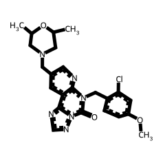 COc1ccc(Cn2c(=O)n3ncnc3c3cc(CN4CC(C)OC(C)C4)cnc32)c(Cl)c1